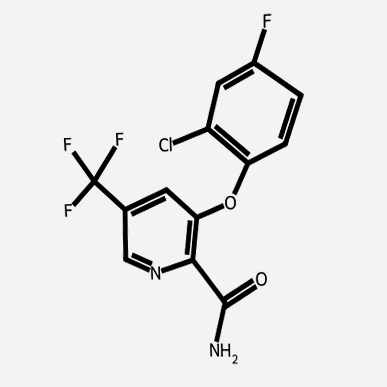 NC(=O)c1ncc(C(F)(F)F)cc1Oc1ccc(F)cc1Cl